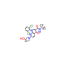 CCC(NC(=O)c1cn(-c2c(Cl)cccc2Cl)c2nc(N3CC4CC4(O)C3)ccc2c1=O)C(F)(F)F